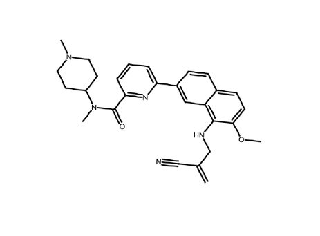 C=C(C#N)CNc1c(OC)ccc2ccc(-c3cccc(C(=O)N(C)C4CCN(C)CC4)n3)cc12